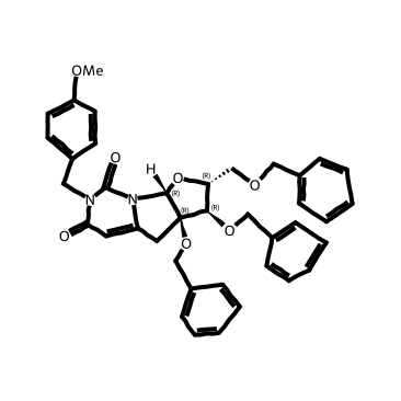 COc1ccc(Cn2c(=O)cc3n(c2=O)[C@@H]2O[C@H](COCc4ccccc4)[C@@H](OCc4ccccc4)[C@]2(OCc2ccccc2)C3)cc1